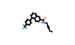 CCC#CCNC(=O)c1ccc2c(-c3ccc(C(F)(F)F)cc3)cccc2c1